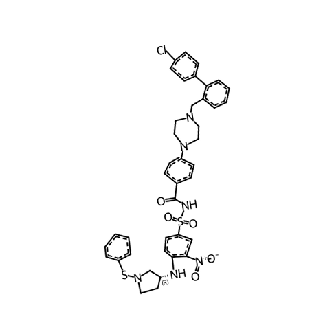 O=C(NS(=O)(=O)c1ccc(N[C@@H]2CCN(Sc3ccccc3)C2)c([N+](=O)[O-])c1)c1ccc(N2CCN(Cc3ccccc3-c3ccc(Cl)cc3)CC2)cc1